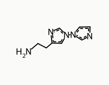 NCCc1cn(-n2ccnc2)cn1